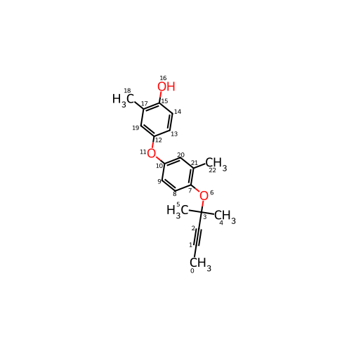 CC#CC(C)(C)Oc1ccc(Oc2ccc(O)c(C)c2)cc1C